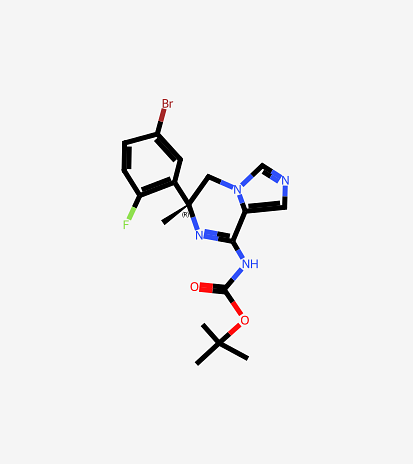 CC(C)(C)OC(=O)NC1=N[C@](C)(c2cc(Br)ccc2F)Cn2cncc21